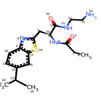 CCC(=O)N[C@@H](Cc1nc2ccc(C(C)C)cc2s1)C(=O)NCCN